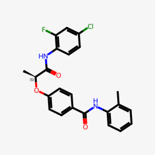 Cc1ccccc1NC(=O)c1ccc(O[C@@H](C)C(=O)Nc2ccc(Cl)cc2F)cc1